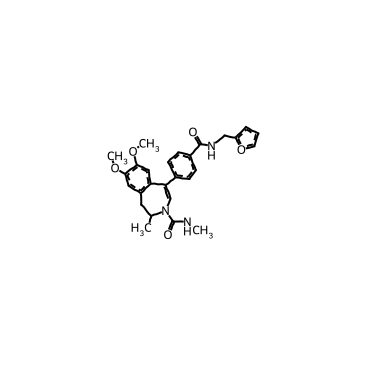 CNC(=O)N1C=C(c2ccc(C(=O)NCc3ccco3)cc2)c2cc(OC)c(OC)cc2CC1C